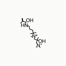 C=C(C)C(O)NCCCC(C)(C)[N+](C)(C)CC(C)(O)C[N+](C)(C)C